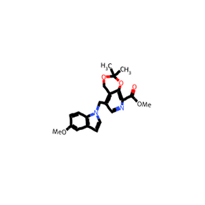 COC(=O)c1ncc(Cn2ccc3cc(OC)ccc32)c2c1OC(C)(C)OC2